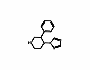 c1ccc(C2CNCCN2n2cncn2)cc1